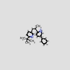 CC(Cc1ccc(C(C)(C)C)nc1)c1ccc(-c2ccccc2)cn1